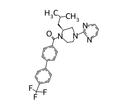 CC(C)C[C@H]1CN(c2ncccn2)CCN1C(=O)c1ccc(-c2ccc(C(F)(F)F)cc2)cc1